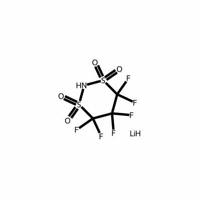 O=S1(=O)NS(=O)(=O)C(F)(F)C(F)(F)C1(F)F.[LiH]